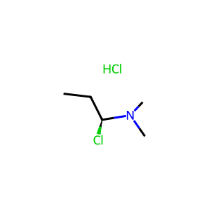 CC[C@H](Cl)N(C)C.Cl